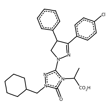 CC(C(=O)O)n1c(N2CC(c3ccccc3)C(c3ccc(Cl)cc3)=N2)nn(CC2CCCCC2)c1=O